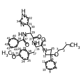 CCCCOC1(c2ccccc2)CN(C(=O)[C@H](Cc2ccc(OC)cc2)NC(=O)[C@H](Cc2c[nH]cn2)NC(=O)c2ccccc2)C1